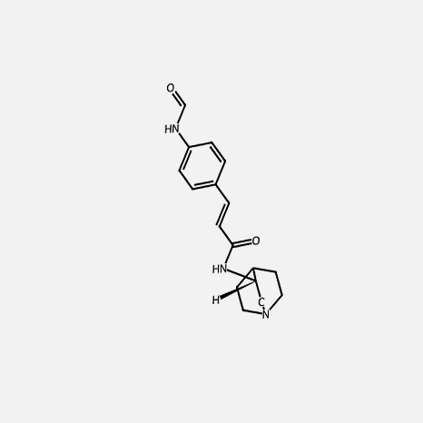 O=CNc1ccc(C=CC(=O)N[C@H]2CN3CCC2CC3)cc1